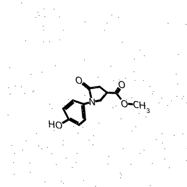 COC(=O)C1CC(=O)N(c2ccc(O)cc2)C1